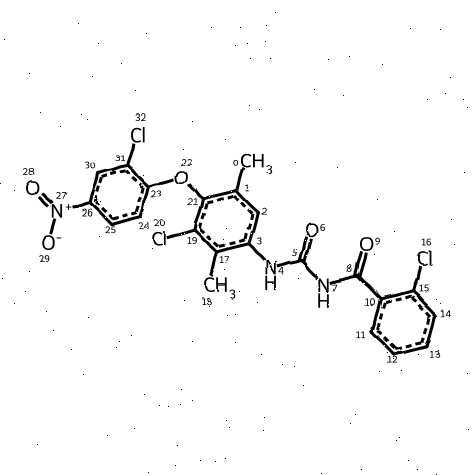 Cc1cc(NC(=O)NC(=O)c2ccccc2Cl)c(C)c(Cl)c1Oc1ccc([N+](=O)[O-])cc1Cl